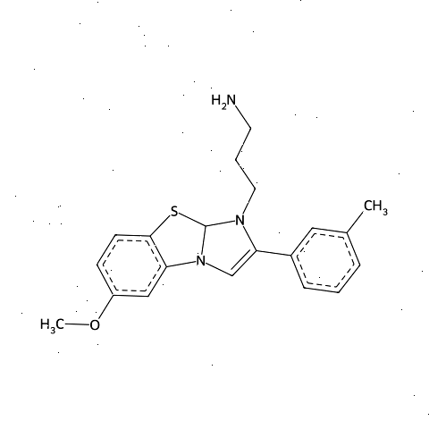 COc1ccc2c(c1)N1C=C(c3cccc(C)c3)N(CCCN)C1S2